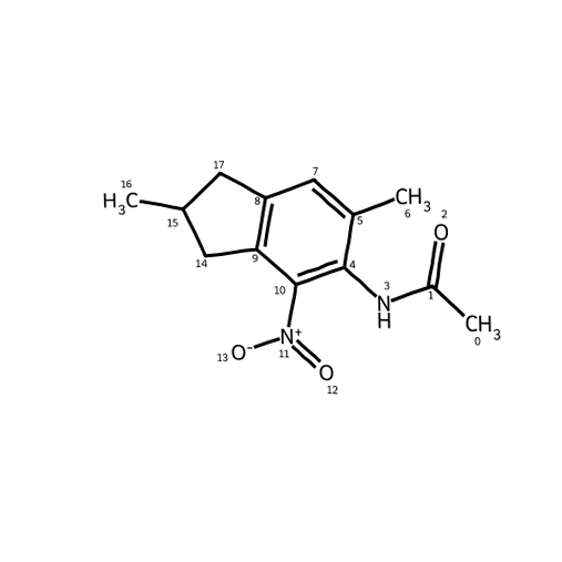 CC(=O)Nc1c(C)cc2c(c1[N+](=O)[O-])CC(C)C2